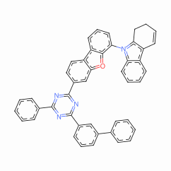 C1=Cc2c(n(-c3cccc4c3oc3cc(-c5nc(-c6ccccc6)nc(-c6cccc(-c7ccccc7)c6)n5)ccc34)c3ccccc23)CC1